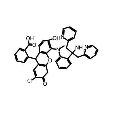 CN(c1ccccc1C(N)(Cc1ccccn1)Cc1ccccn1)c1c(O)ccc2c1OC1=C(C=C(Cl)C(=O)C1)C2c1ccccc1C(=O)O